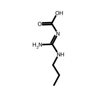 CCCN/C(N)=N/C(=O)O